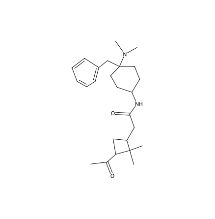 CC(=O)C1CC(CC(=O)NC2CCC(Cc3ccccc3)(N(C)C)CC2)C1(C)C